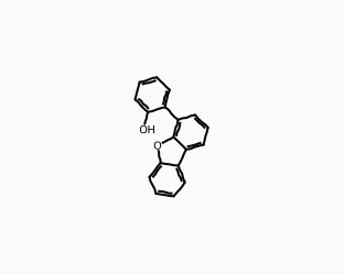 Oc1ccccc1-c1cccc2c1oc1ccccc12